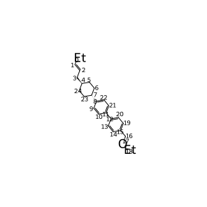 CC/C=C/C[C@H]1CC[C@H](c2ccc(-c3ccc(COCC)cc3)cc2)CC1